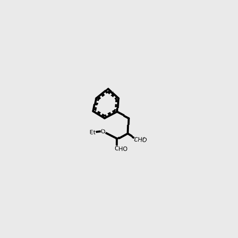 CCOC(C=O)C(C=O)Cc1ccccc1